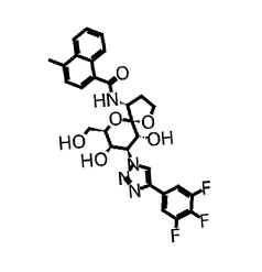 Cc1ccc(C(=O)N[C@@H]2CCO[C@]23O[C@H](CO)[C@H](O)[C@H](n2cc(-c4cc(F)c(F)c(F)c4)nn2)[C@H]3O)c2ccccc12